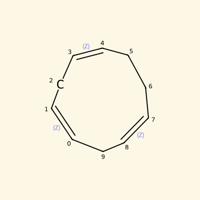 C1=C\C/C=C\CC/C=C\C/1